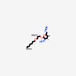 CCCCCCCCCCCCCCCCOC[C@H](CO[C@@H]1OC(CN=[N+]=[N-])[C@@H](C)[C@H](C)C1N=[N+]=[N-])OC